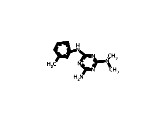 Cc1cccc(Nc2nc(N)nc(N(C)C)n2)c1